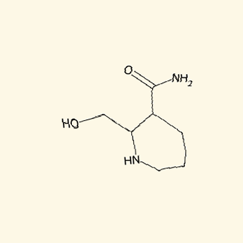 NC(=O)C1CCCNC1CO